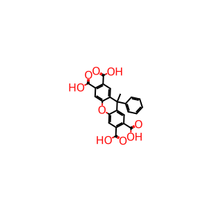 CC1(c2ccccc2)c2cc(C(=O)O)c(C(=O)O)cc2Oc2cc(C(=O)O)c(C(=O)O)cc21